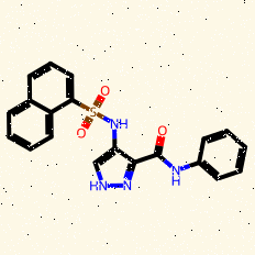 O=C(Nc1ccccc1)c1n[nH]cc1NS(=O)(=O)c1cccc2ccccc12